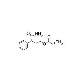 C=CC(=O)OCCN(C(N)=O)c1ccccc1